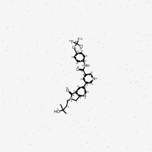 CC(C)(O)CCN1Cc2ncc(-c3cncc(C(=O)Nc4ccc(OC(F)(F)Cl)cc4)c3)cc2C1=O